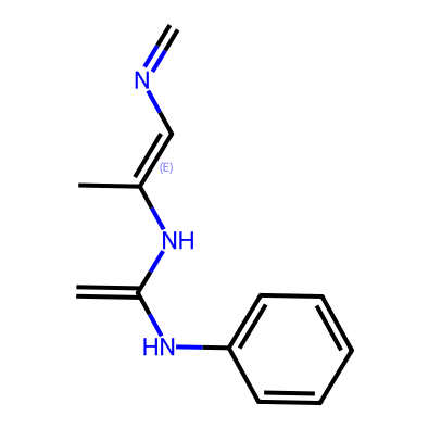 C=N/C=C(\C)NC(=C)Nc1ccccc1